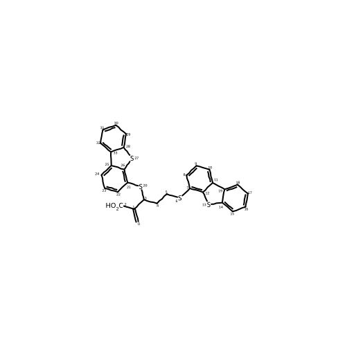 C=C(C(=O)O)C(CCSc1cccc2c1sc1ccccc12)Sc1cccc2c1sc1ccccc12